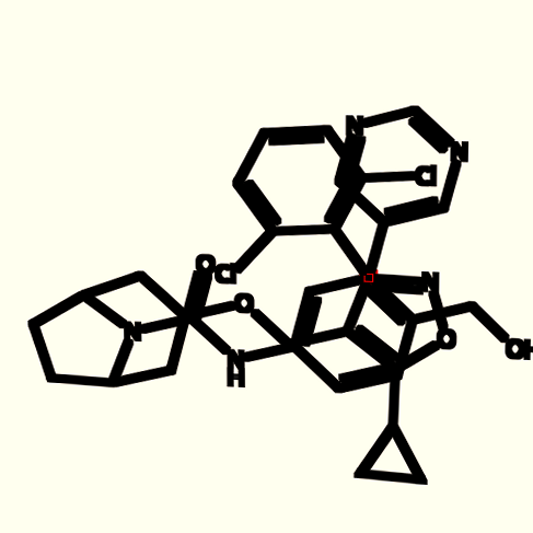 O=C(Nc1ccc(CO)c(-c2cncnc2)c1)N1C2CCC1CC(OCc1c(-c3c(Cl)cccc3Cl)noc1C1CC1)C2